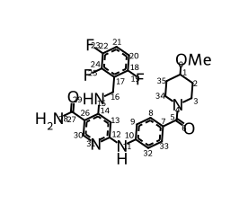 COC1CCN(C(=O)c2ccc(Nc3cc(NCc4c(F)ccc(F)c4F)c(C(N)=O)cn3)cc2)CC1